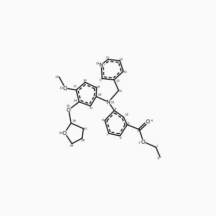 CCOC(=O)c1cccc(N(Cc2cccnc2)c2ccc(OC)c(OC3CCCO3)c2)c1